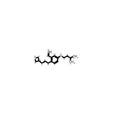 CC(C)CCOc1ccc(CCCC2COC2)c(C=N)c1